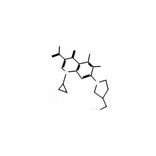 Cc1c(F)c(N2CCC(CN)C2)cc2c1c(=O)c(C(=O)O)cn2C1CC1.Cl